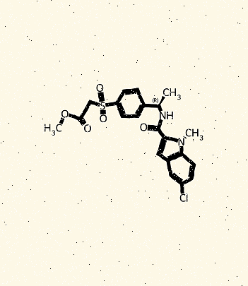 COC(=O)CS(=O)(=O)c1ccc([C@@H](C)NC(=O)c2cc3cc(Cl)ccc3n2C)cc1